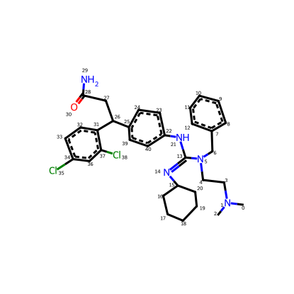 CN(C)CCN(Cc1ccccc1)/C(=N\C1CCCCC1)Nc1ccc(C(CC(N)=O)c2ccc(Cl)cc2Cl)cc1